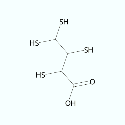 O=C(O)C(S)C(S)C(S)S